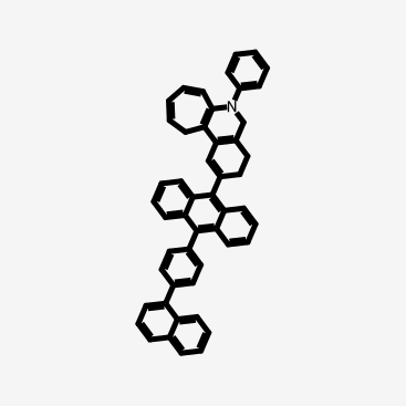 C1=CCC2=C(C=C1)N(c1ccccc1)CC1=C2C=C(c2c3ccccc3c(-c3ccc(-c4cccc5ccccc45)cc3)c3ccccc23)CC1